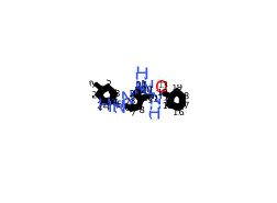 Cc1ccc(Nc2ccc3c(NC(=O)c4ccccc4)n[nH]c3n2)cc1